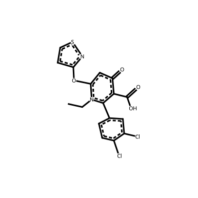 CCn1c(Oc2ccsn2)cc(=O)c(C(=O)O)c1-c1ccc(Cl)c(Cl)c1